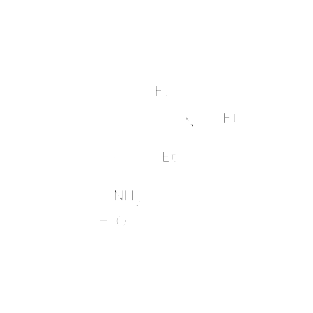 CCN(CC)CC.Nc1ccccc1.O